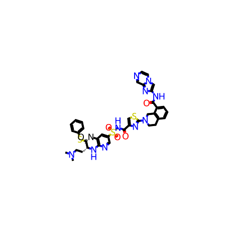 CN(C)CC[C@H](CSc1ccccc1)Nc1ncc(S(=O)(=O)NC(=O)c2csc(N3CCc4cccc(C(=O)Nc5cn6ccncc6n5)c4C3)n2)cc1[N+](=O)[O-]